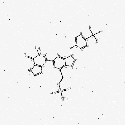 Cn1cc(-c2cc(CCS(N)(=O)=O)c3ncn(Cc4ccc(C(F)(F)F)cc4)c3n2)c2cc[nH]c2c1=O